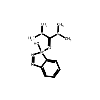 CN(C)C(=[O+][N+]1(O)N=Nc2ccccc21)N(C)C